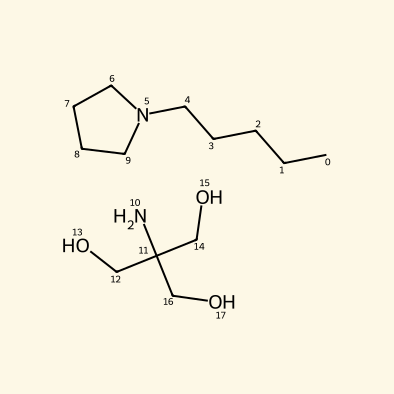 CCCCCN1CCCC1.NC(CO)(CO)CO